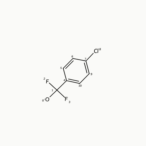 [O]C(F)(F)c1ccc(Cl)cc1